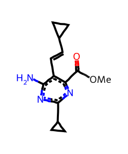 COC(=O)c1nc(C2CC2)nc(N)c1C=CC1CC1